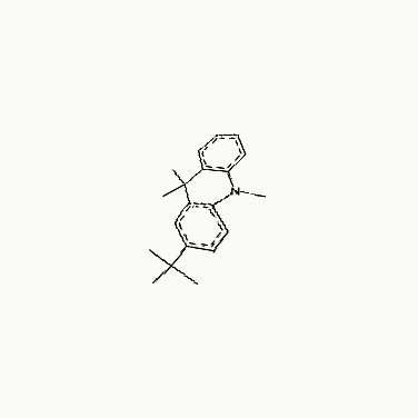 CN1c2ccccc2C(C)(C)c2cc(C(C)(C)C)ccc21